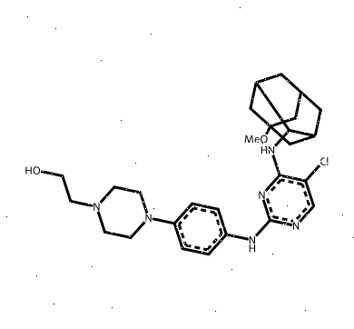 COC12CC3CC(C1)C(Nc1nc(Nc4ccc(N5CCN(CCO)CC5)cc4)ncc1Cl)C(C3)C2